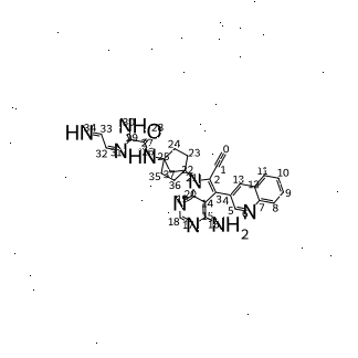 C#Cc1c(-c2cnc3ccccc3c2)c2c(N)ncnc2n1C12CCC(NC(=O)C(=N)/N=C\C=N)(CC1)C2